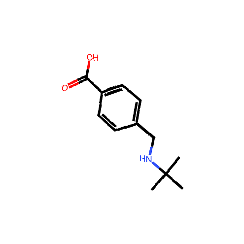 CC(C)(C)NCc1ccc(C(=O)O)cc1